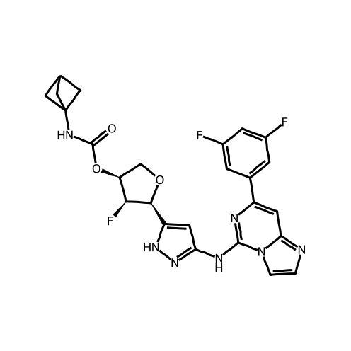 O=C(NC12CC(C1)C2)O[C@H]1CO[C@@H](c2cc(Nc3nc(-c4cc(F)cc(F)c4)cc4nccn34)n[nH]2)[C@H]1F